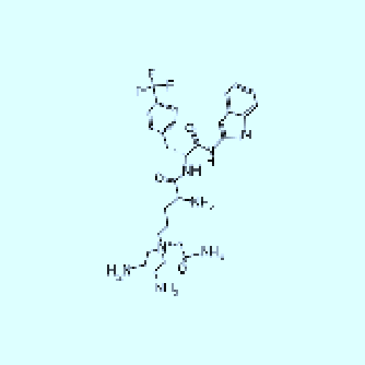 NCC[N+](CCN)(CCC[C@H](N)C(=O)N[C@H](Cc1ccc(C(F)(F)F)cc1)C(=O)Nc1cnc2ccccc2c1)CC(N)=O